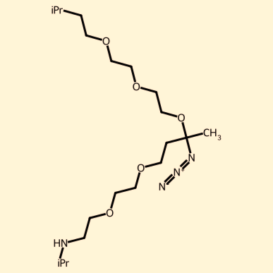 CC(C)CCOCCOCCOC(C)(CCOCCOCCNC(C)C)N=[N+]=[N-]